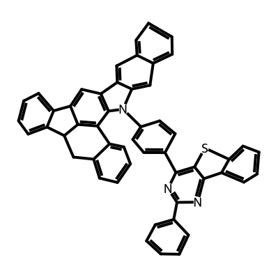 c1ccc(-c2nc(-c3ccc(-n4c5cc6ccccc6cc5c5cc6c7c(c54)-c4ccccc4CC7c4ccccc4-6)cc3)c3sc4ccccc4c3n2)cc1